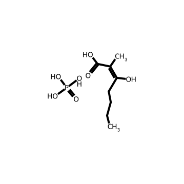 CCCCC(O)=C(C)C(=O)O.O=P(O)(O)O